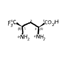 N[C@H](C[C@H](N)C(=O)O)C(F)(F)F